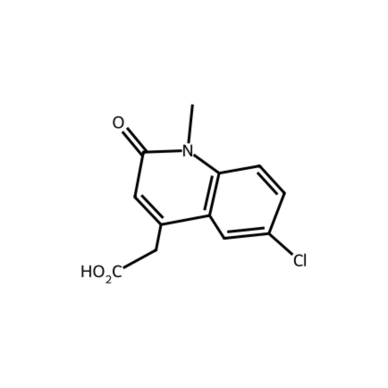 Cn1c(=O)cc(CC(=O)O)c2cc(Cl)ccc21